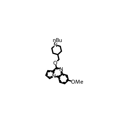 CCCCN1CCC(COc2nc3cc(OC)ccc3n3cccc23)CC1